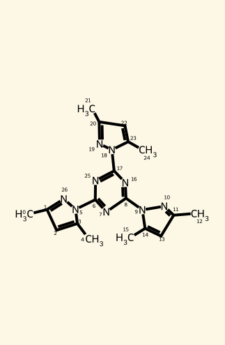 Cc1cc(C)n(-c2nc(-n3nc(C)cc3C)nc(-n3nc(C)cc3C)n2)n1